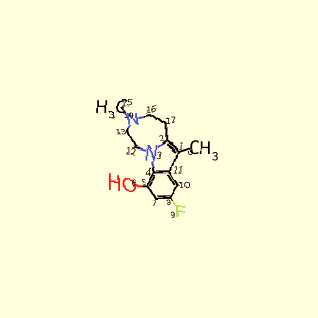 Cc1c2n(c3c(O)cc(F)cc13)CCN(C)CC2